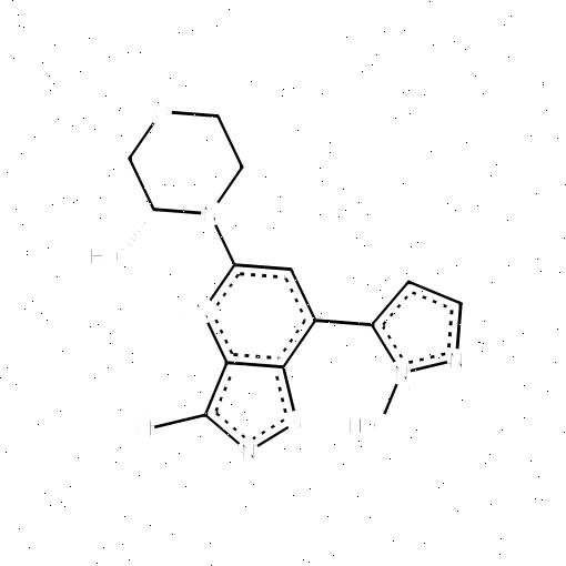 C[C@@H]1COCCN1c1cc(-c2ccnn2C)c2snc(Cl)c2n1